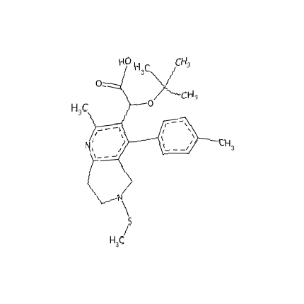 CSN1CCc2nc(C)c(C(OC(C)(C)C)C(=O)O)c(-c3ccc(C)cc3)c2C1